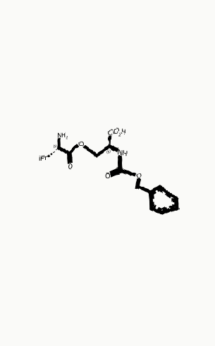 CC(C)[C@H](N)C(=O)OC[C@H](NC(=O)OCc1ccccc1)C(=O)O